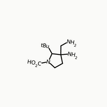 CC(C)(C)C1N(C(=O)O)CCC1(N)CN